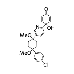 CO[C@]1(c2ccc(Cl)cc2)C=C[C@@](OC)(c2ccc(C3(O)C=CC(=O)C=C3)nc2)C=C1